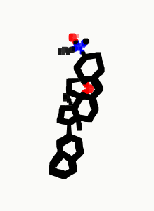 CCC[N+](C)([O-])[C@@H]1CCC2=CC3=CC[C@]4(C)[C@@H](c5ccc6ccccc6c5)CC[C@H]4C34CC[C@]2(C1)O4